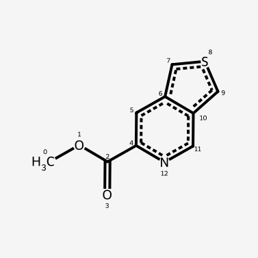 COC(=O)c1cc2cscc2cn1